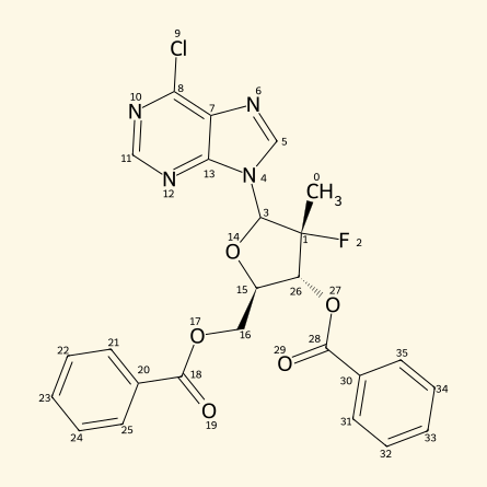 C[C@]1(F)C(n2cnc3c(Cl)ncnc32)O[C@H](COC(=O)c2ccccc2)[C@H]1OC(=O)c1ccccc1